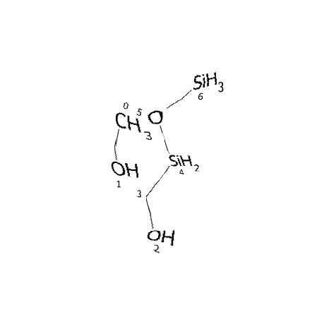 CO.OC[SiH2]O[SiH3]